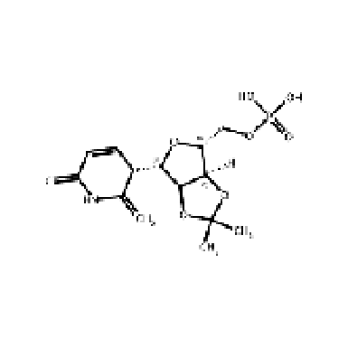 C=C1NC(=O)C=CC1[C@@H]1O[C@H](COP(=O)(O)O)[C@H]2OC(C)(C)OC12